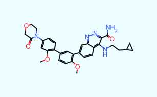 COc1cc(N2CCOCC2=O)ccc1-c1ccc(OC)c(-c2ccc3c(NCCC4CC4)c(C(N)=O)nnc3c2)c1